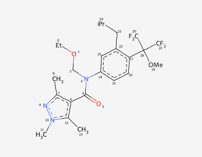 CCOCN(C(=O)c1c(C)nn(C)c1C)c1ccc(C(OC)(C(F)(F)F)C(F)(F)F)c(CC(C)C)c1